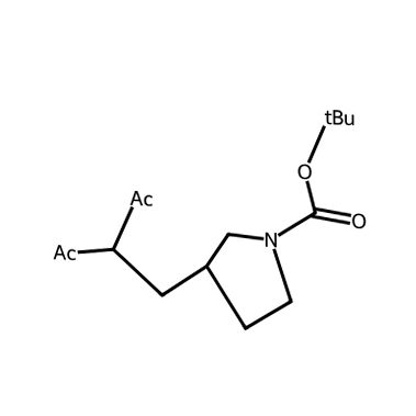 CC(=O)C(CC1CCN(C(=O)OC(C)(C)C)C1)C(C)=O